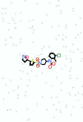 O=C1OCc2c(Cl)cccc2N1C1CCN(S(=O)(=O)c2ccc(-c3ccno3)s2)CC1